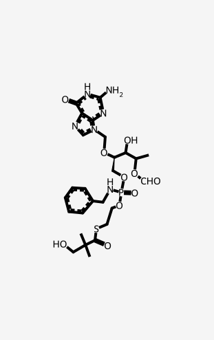 CC(OC=O)C(O)[C@@H](COP(=O)(NCc1ccccc1)OCCSC(=O)C(C)(C)CO)OCn1cnc2c(=O)[nH]c(N)nc21